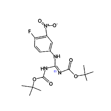 CC(C)(C)OC(=O)/N=C(/NC(=O)OC(C)(C)C)Nc1ccc(F)c([N+](=O)[O-])c1